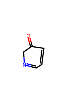 O=C1C=CC=NC1